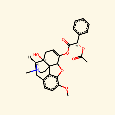 COc1ccc2c3c1OC1C(OC(=O)[C@@H](OC(C)=O)c4ccccc4)=CC[C@@]4(O)[C@@H](C2)N(C)CCC314